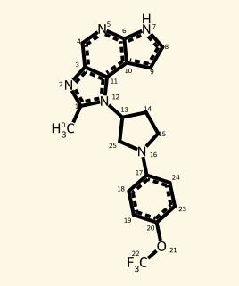 Cc1nc2cnc3[nH]ccc3c2n1C1CCN(c2ccc(OC(F)(F)F)cc2)C1